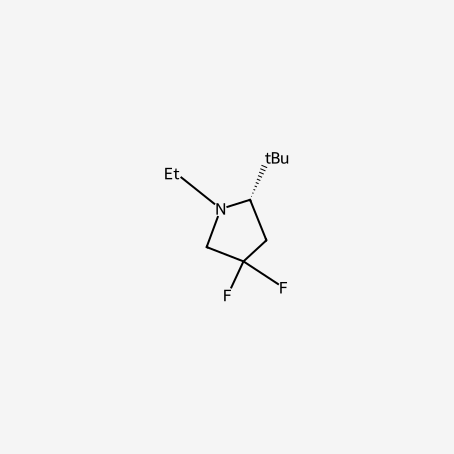 CCN1CC(F)(F)C[C@H]1C(C)(C)C